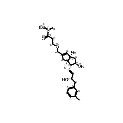 Cc1cccc(C[C@H](O)/C=C/[C@@H]2[C@H]3CC(COCCC(=O)N(C)C(C)(C)C)=C[C@H]3C[C@H]2O)c1